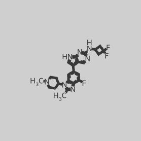 Cc1nc2c(F)cc(-c3c[nH]c4nc(NC5CC(F)(F)C5)ncc34)cc2n1C1CCN(C)CC1